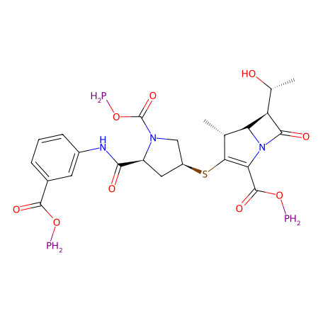 C[C@H]1C(S[C@H]2C[C@@H](C(=O)Nc3cccc(C(=O)OP)c3)N(C(=O)OP)C2)=C(C(=O)OP)N2C(=O)[C@H]([C@@H](C)O)C12